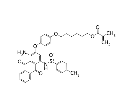 C=C(C)C(=O)OCCCCCCOc1ccc(Oc2cc(N[S+]([O-])c3ccc(C)cc3)c3c(c2N)C(=O)c2ccccc2C3=O)cc1